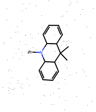 CC(C)N1C2C=CC=CC2C(C)(C)C2C=CC=CC21